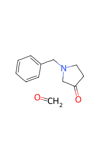 C=O.O=C1CCN(Cc2ccccc2)C1